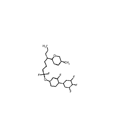 CCCC(CCCC(F)(F)OC1CCC(C2CC(F)C(F)C(F)C2)C(F)C1)C1CCC(C)CO1